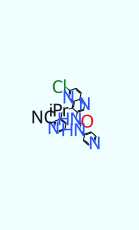 CC(C)c1c(NC(=O)Nc2ccncc2)cnc2ccc(Cl)nc12.Cc1cccnc1C#N